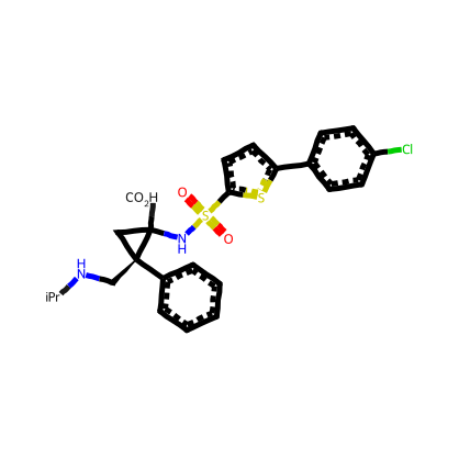 CC(C)NC[C@@]1(c2ccccc2)CC1(NS(=O)(=O)c1ccc(-c2ccc(Cl)cc2)s1)C(=O)O